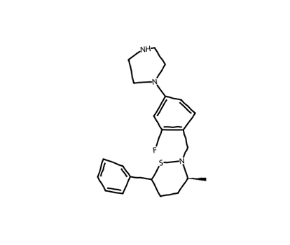 C[C@H]1CCC(c2ccccc2)SN1Cc1ccc(N2CCNCC2)cc1F